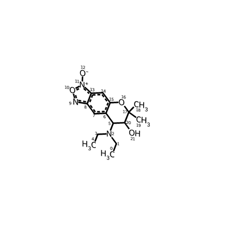 CCN(CC)C1c2cc3no[n+]([O-])c3cc2OC(C)(C)C1O